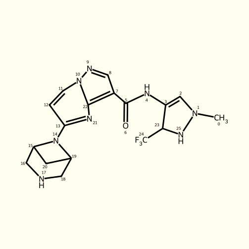 CN1C=C(NC(=O)c2cnn3ccc(N4C5CNCC4C5)nc23)C(C(F)(F)F)N1